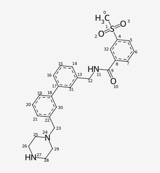 CS(=O)(=O)c1cccc(C(=O)NCc2cccc(-c3cccc(CN4CCNCC4)c3)c2)c1